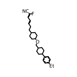 CCc1ccc(C2CCC(COC3CCC(CCC=CC=C(F)C#N)CC3)CC2)cc1